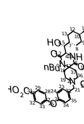 CCCCN1C(=O)[C@@H]([C@H](O)[C@H]2CC[C@H](C)CC2)NC(=O)C12CCN(Cc1ccc(Oc3ccc(C(=O)O)cc3)cc1)CC2.Cl